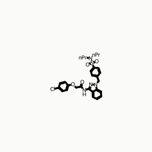 CCCN(CCC)S(=O)(=O)c1ccc(Cn2nc(NC(=O)COc3ccc(Cl)cc3)c3ccccc32)cc1